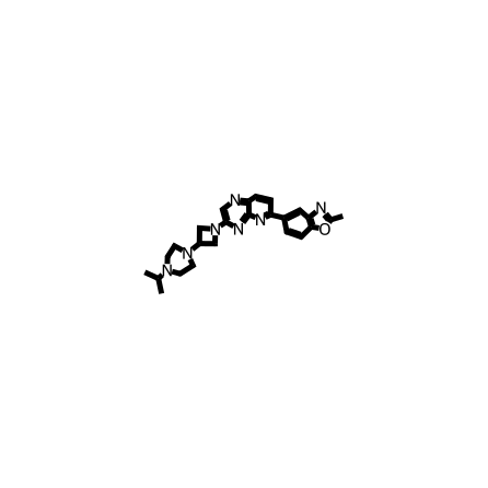 Cc1nc2cc(-c3ccc4ncc(N5CC(N6CCN(C(C)C)CC6)C5)nc4n3)ccc2o1